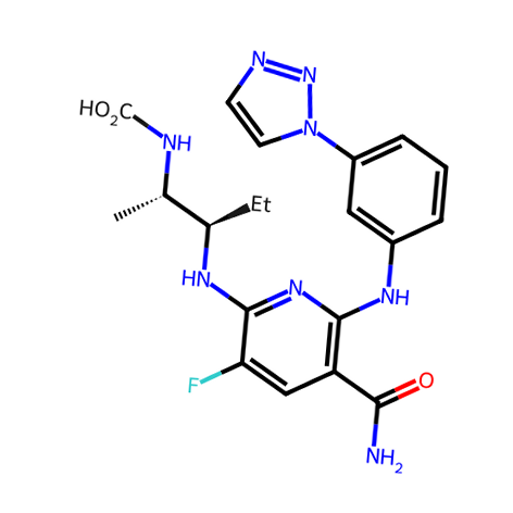 CC[C@@H](Nc1nc(Nc2cccc(-n3ccnn3)c2)c(C(N)=O)cc1F)[C@H](C)NC(=O)O